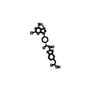 Nc1nc(Cl)nc2c1ncn2[C@H]1CC[C@@H](C(=O)[AsH]c2nc3ccc(CC(=O)O)cc3s2)CC1